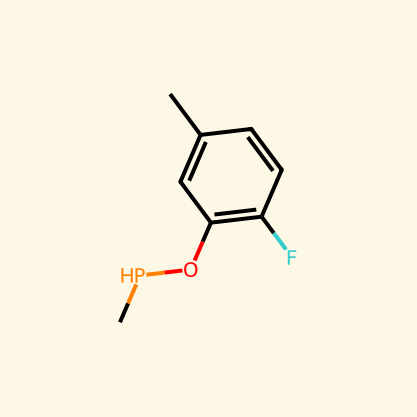 CPOc1cc(C)ccc1F